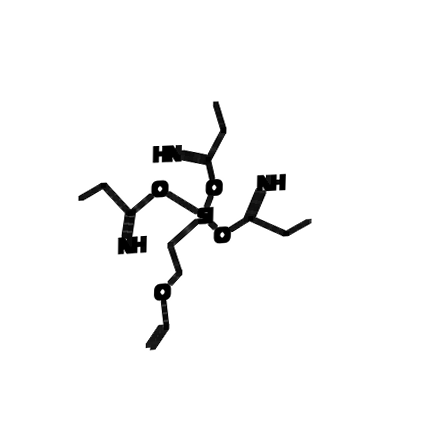 C=COCC[Si](OC(=N)CC)(OC(=N)CC)OC(=N)CC